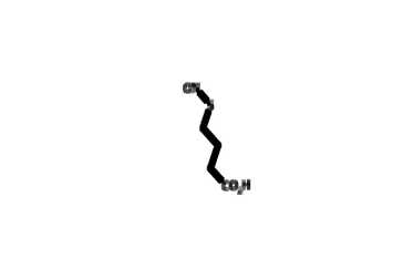 O=NSCCCC(=O)O